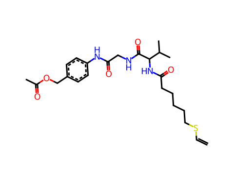 C=CSCCCCCC(=O)NC(C(=O)NCC(=O)Nc1ccc(COC(C)=O)cc1)C(C)C